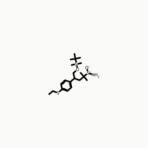 CCSc1ccc(C(CO[Si](C)(C)C(C)(C)C)CC(C)(C)[S+](N)[O-])cc1